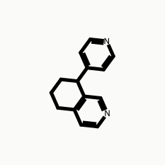 c1cc(C2CCCc3ccncc32)ccn1